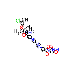 CC1(C)C(NC(=O)c2ccc(N3CCC(N4CCN(c5ccc6c(c5)C(=O)N(C5CCC(=O)NC5=O)C6=O)CC4)CC3)cc2)C(C)(C)C1Oc1ccc(C#N)c(Cl)c1